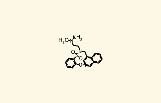 CN(C)CCN(Cc1cccc2ccccc12)S(=O)(=O)c1ccccc1O